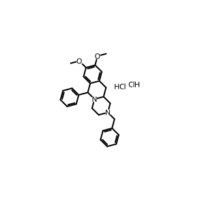 COc1cc2c(cc1OC)C(c1ccccc1)N1CCN(Cc3ccccc3)CC1C2.Cl.Cl